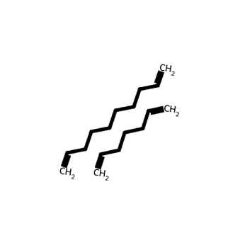 C=CCCCC=C.C=CCCCCCCC=C